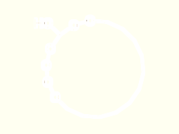 OC1OOCCCCCCCCCCCOOOO1